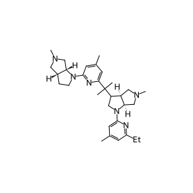 CCc1cc(C)cc(N2CC(C(C)(C)c3cc(C)cc(N4CC[C@@H]5CN(C)C[C@@H]54)n3)[C@H]3CN(C)C[C@H]32)n1